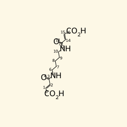 O=C(O)C=CC(=O)NCCCCCNC(=O)C=CC(=O)O